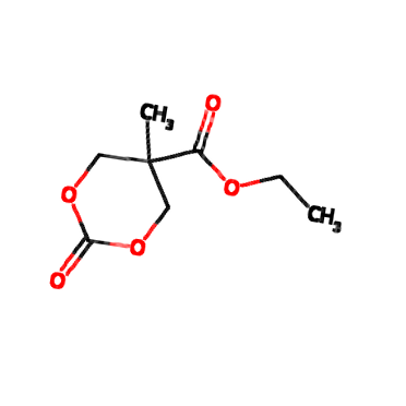 CCOC(=O)C1(C)COC(=O)OC1